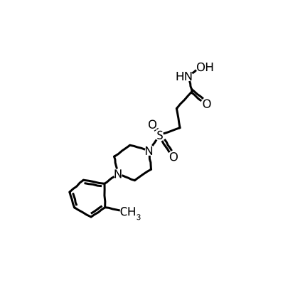 Cc1ccccc1N1CCN(S(=O)(=O)CCC(=O)NO)CC1